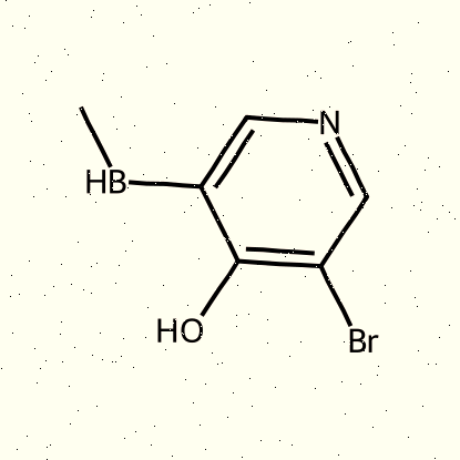 CBc1cncc(Br)c1O